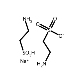 NCCS(=O)(=O)O.NCCS(=O)(=O)[O-].[Na+]